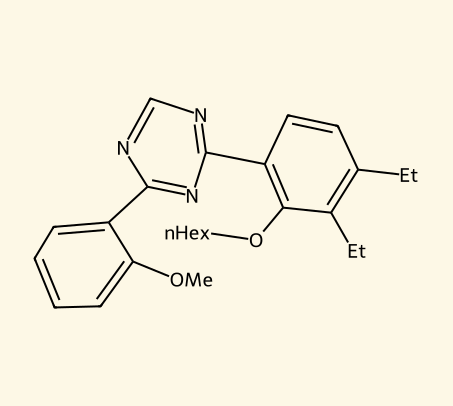 CCCCCCOc1c(-c2ncnc(-c3ccccc3OC)n2)ccc(CC)c1CC